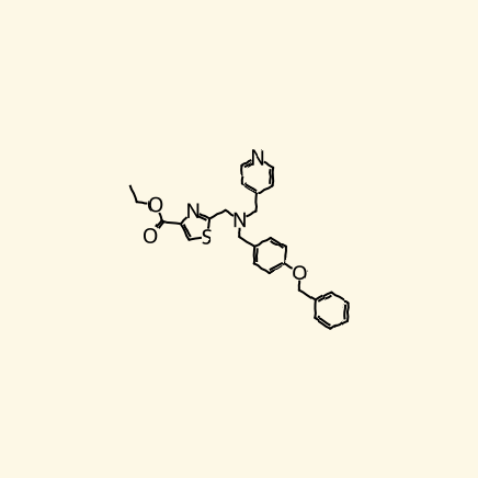 CCOC(=O)c1csc(CN(Cc2ccncc2)Cc2ccc(OCc3ccccc3)cc2)n1